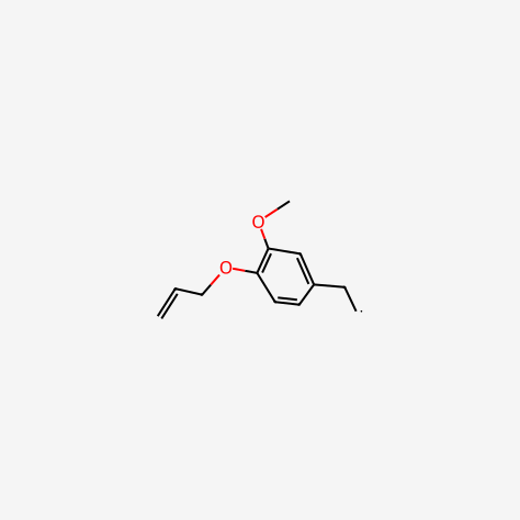 [CH2]Cc1ccc(OCC=C)c(OC)c1